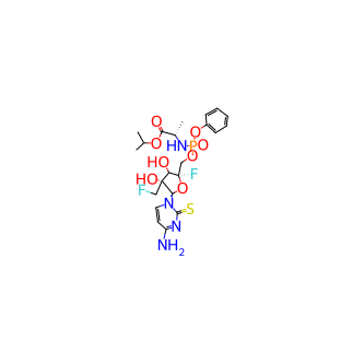 CC(C)OC(=O)[C@H](C)NP(=O)(OC[C@@]1(F)O[C@@H](n2ccc(N)nc2=S)[C@@](O)(CF)C1O)Oc1ccccc1